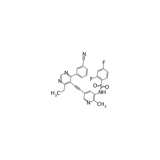 CCc1ncnc(-c2cccc(C#N)c2)c1C#Cc1cnc(C)c(NS(=O)(=O)c2ccc(F)cc2F)c1